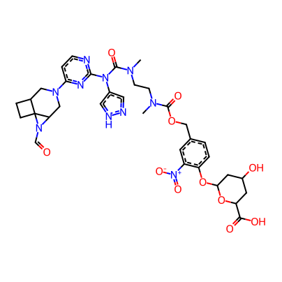 CN(CCN(C)C(=O)N(c1cn[nH]c1)c1nccc(N2CC3CCC34C(C2)N4C=O)n1)C(=O)OCc1ccc(OC2CC(O)CC(C(=O)O)O2)c([N+](=O)[O-])c1